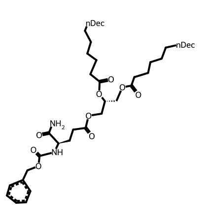 CCCCCCCCCCCCCCCC(=O)OC[C@H](COC(=O)CC[C@@H](NC(=O)OCc1ccccc1)C(N)=O)OC(=O)CCCCCCCCCCCCCCC